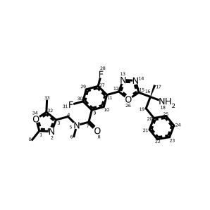 Cc1nc(CN(C)C(=O)c2cc(-c3nnc([C@](C)(N)Cc4ccccc4)o3)c(F)cc2F)c(C)o1